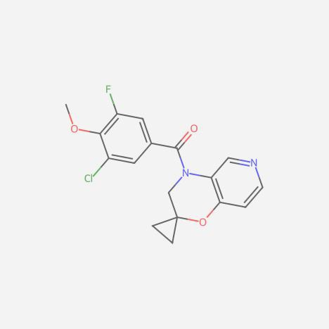 COc1c(F)cc(C(=O)N2CC3(CC3)Oc3ccncc32)cc1Cl